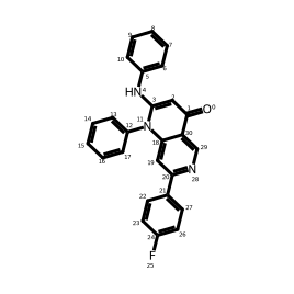 O=c1cc(Nc2ccccc2)n(-c2ccccc2)c2cc(-c3ccc(F)cc3)ncc12